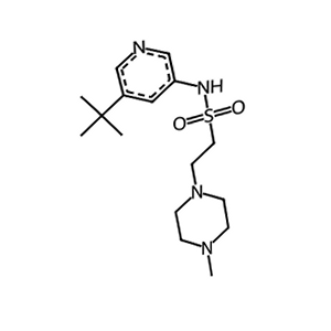 CN1CCN(CCS(=O)(=O)Nc2cncc(C(C)(C)C)c2)CC1